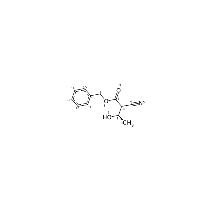 C[C@@H](O)C(C#N)C(=O)OCc1ccccc1